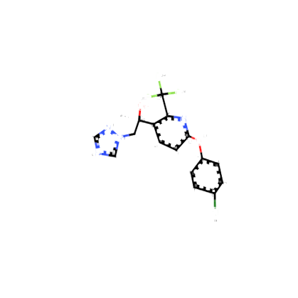 C[C@@](O)(Cn1cncn1)c1ccc(Oc2ccc(Cl)cc2)nc1C(F)(F)F